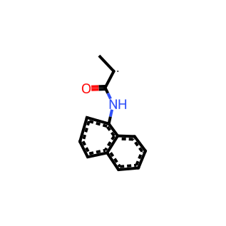 C[CH]C(=O)Nc1cccc2ccccc12